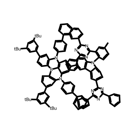 Cc1ccc(-n2c3ccc(-c4cc5c6c(c4)N(c4ccc(-c7ccccc7)cc4)c4cc(-c7cc(C(C)(C)C)cc(C(C)(C)C)c7)ccc4B6c4ccc(-c6cc(C(C)(C)C)cc(C(C)(C)C)c6)cc4N5c4ccc(-c5ccccc5)cc4)cc3c3cc(-c4nc(-c5ccccc5)nc(-c5ccccc5)n4)ccc32)c(-c2nc(-c3ccccc3)nc(-c3ccccc3)n2)c1